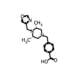 C[C@@H]1CN(Cc2ccc(C(=O)O)cc2)C[C@H](C)N1Cc1cocn1